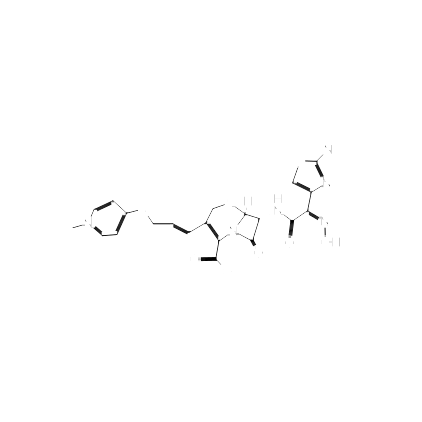 C[n+]1ccc(SC/C=C/C2=C(C(=O)[O-])N3C(=O)[C@@H](NC(=O)/C(=N\O)c4csc(N)n4)[C@@H]3SC2)cc1